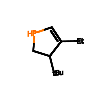 CCC1=CPCC1C(C)(C)C